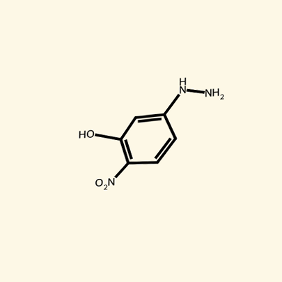 NNc1ccc([N+](=O)[O-])c(O)c1